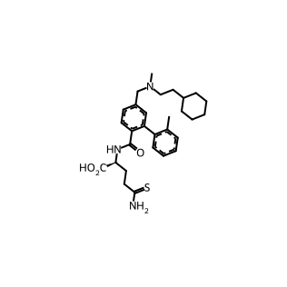 Cc1ccccc1-c1cc(CN(C)CCC2CCCCC2)ccc1C(=O)N[C@@H](CCC(N)=S)C(=O)O